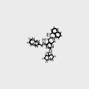 CCc1cccc2cccc(N3CCc4c(nc(OCC56CCCN5CCC6)nc4NCc4nc5ncccn5n4)C3)c12